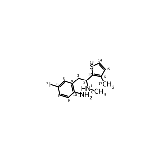 CNC(Cc1cc(I)ccc1N)c1sccc1C